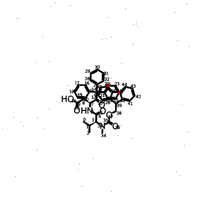 CC(C)[C@@H](C(=O)N[C@@H](CC(=O)O)C(=O)C(c1ccccc1)(c1ccccc1)c1ccccc1)N(C)C(=O)OCC1c2ccccc2-c2ccccc21